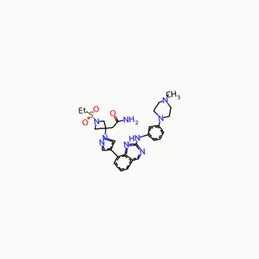 CCS(=O)(=O)N1CC(CC(N)=O)(n2cc(-c3cccc4cnc(Nc5cccc(N6CCN(C)CC6)c5)nc34)cn2)C1